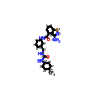 Nc1nsc2cccc(C(=O)Nc3cccc(CNC(=O)Nc4ccc(C(F)(F)F)cc4)c3)c12